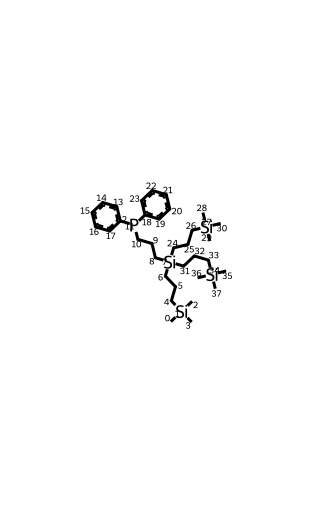 C[Si](C)(C)CCC[Si](CCCP(c1ccccc1)c1ccccc1)(CCC[Si](C)(C)C)CCC[Si](C)(C)C